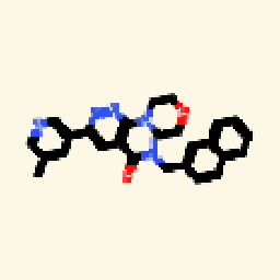 Cc1cncc(-c2cc(C(=O)NCc3ccc4ccccc4c3)c(N3CCOCC3)nn2)c1